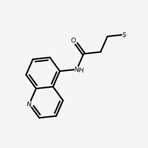 O=C(CC[S])Nc1cccc2ncccc12